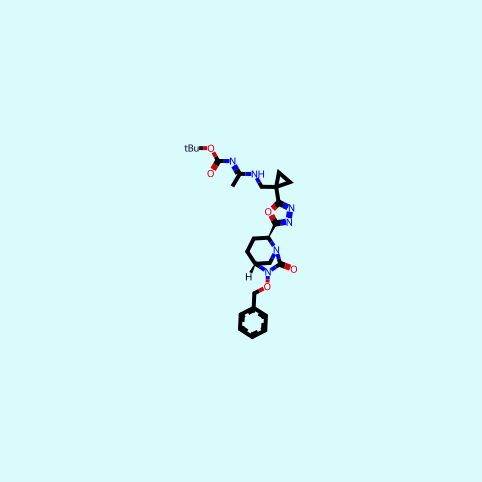 C/C(=N\C(=O)OC(C)(C)C)NCC1(c2nnc([C@@H]3CC[C@@H]4CN3C(=O)N4OCc3ccccc3)o2)CC1